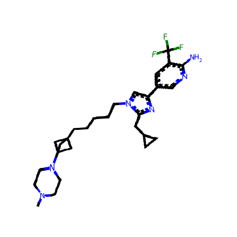 CN1CCN(C23CC(CCCCCn4cc(-c5cnc(N)c(C(F)(F)F)c5)nc4CC4CC4)(C2)C3)CC1